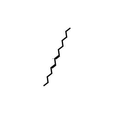 CCCCC=C/[C]=C/CCCCCC